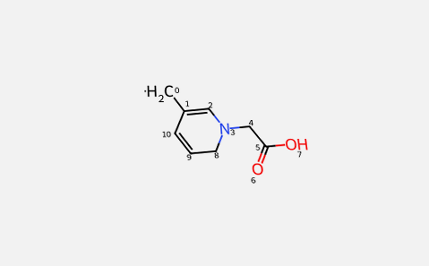 [CH2]C1=CN(CC(=O)O)CC=C1